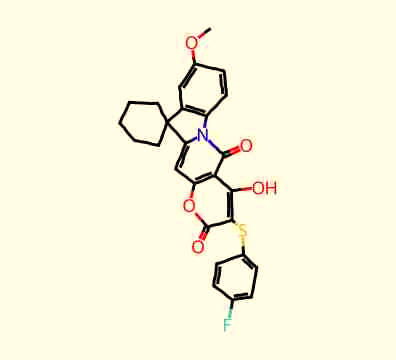 COc1ccc2c(c1)C1(CCCCC1)c1cc3oc(=O)c(Sc4ccc(F)cc4)c(O)c3c(=O)n1-2